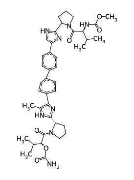 COC(=O)N[C@H](C(=O)N1CCCC1c1nc(-c2ccc(-c3ccc(-c4nc([C@@H]5CCCN5C(=O)[C@@H](OC(N)=O)C(C)C)[nH]c4C)cc3)cc2)c[nH]1)C(C)C